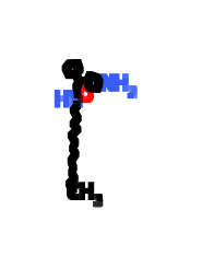 CCCCCCCCCCCCCCCNC(=O)C=C(c1ccccc1)c1ccc(N)cc1